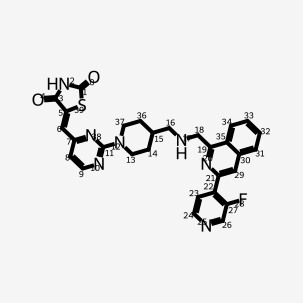 O=C1NC(=O)C(=Cc2ccnc(N3CCC(CNCc4nc(-c5ccncc5F)cc5ccccc45)CC3)n2)S1